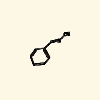 N#C/N=C/c1ccccc1